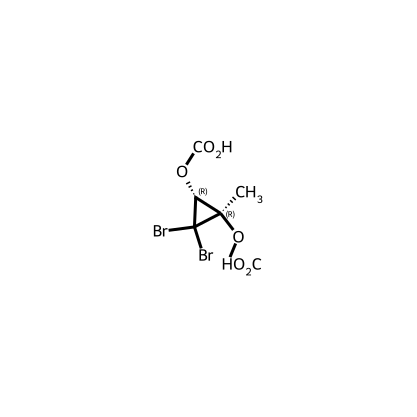 C[C@@]1(OC(=O)O)[C@@H](OC(=O)O)C1(Br)Br